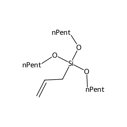 C=CC[Si](OCCCCC)(OCCCCC)OCCCCC